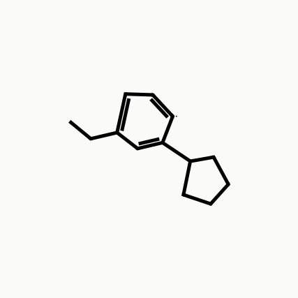 CCc1cc[c]c(C2CCCC2)c1